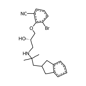 CC(C)(CC1Cc2ccccc2C1)NC[C@H](O)COc1c(Br)cccc1C#N